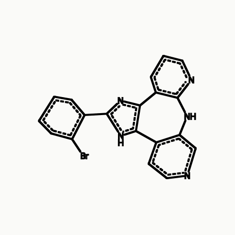 Brc1ccccc1-c1nc2c([nH]1)-c1ccncc1Nc1ncccc1-2